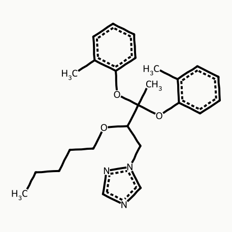 CCCCCOC(Cn1cncn1)C(C)(Oc1ccccc1C)Oc1ccccc1C